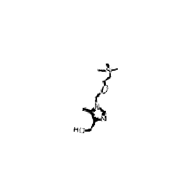 Cc1c(CO)ncn1COCC[Si](C)(C)C